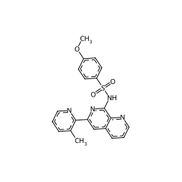 COc1ccc(S(=O)(=O)Nc2nc(-c3ncccc3C)cc3cccnc23)cc1